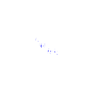 CC1(C)c2cc3nc(-c4ccc(-n5c6ccccc6c6ccccc65)cc4)[nH]c3cc2-c2cc3[nH]c(-c4ccc(-n5c6ccccc6c6ccccc65)cc4)nc3cc21